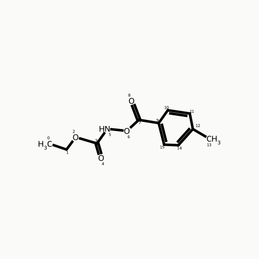 CCOC(=O)NOC(=O)c1ccc(C)cc1